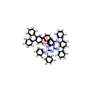 c1ccc(-c2nc(N3c4ccccc4Sc4ccccc43)nc(-n3c4ccccc4c4ccc5c6ccccc6n(-c6ccc7c(c6)Oc6cc(-c8ccccc8)c(-c8ccccc8)cc6O7)c5c43)n2)cc1